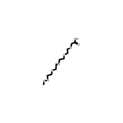 COOCCOCCOCCOCCOCC(=O)O